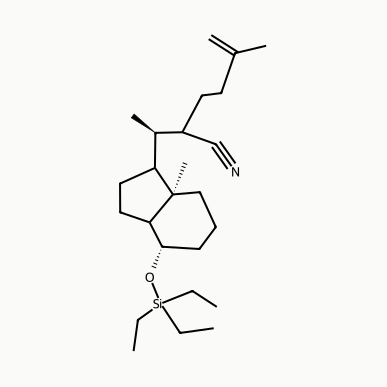 C=C(C)CCC(C#N)[C@H](C)C1CCC2[C@@H](O[Si](CC)(CC)CC)CCC[C@]12C